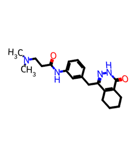 CN(C)CCC(=O)Nc1cccc(Cc2n[nH]c(=O)c3c2CCCC3)c1